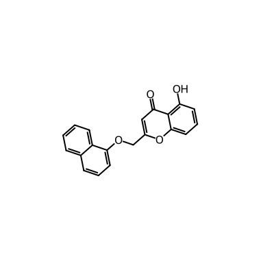 O=c1cc(COc2cccc3ccccc23)oc2cccc(O)c12